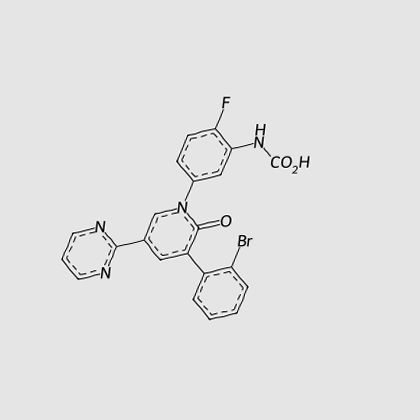 O=C(O)Nc1cc(-n2cc(-c3ncccn3)cc(-c3ccccc3Br)c2=O)ccc1F